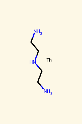 NCCNCCN.[Th]